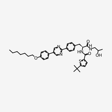 CCCCCCCOc1ccc(-c2cnc(-c3ccc(C[C@H](NC(=O)c4ccc(C(C)(C)C)s4)C(=O)NCC(C)O)cc3)nc2)cc1